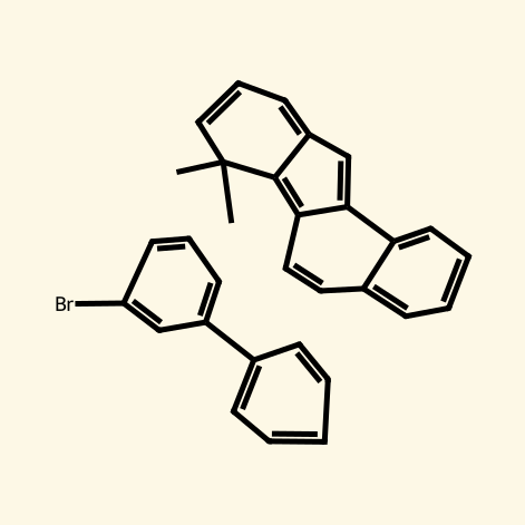 Brc1cccc(-c2ccccc2)c1.CC1(C)C=CC=C2C=c3c(ccc4ccccc34)=C21